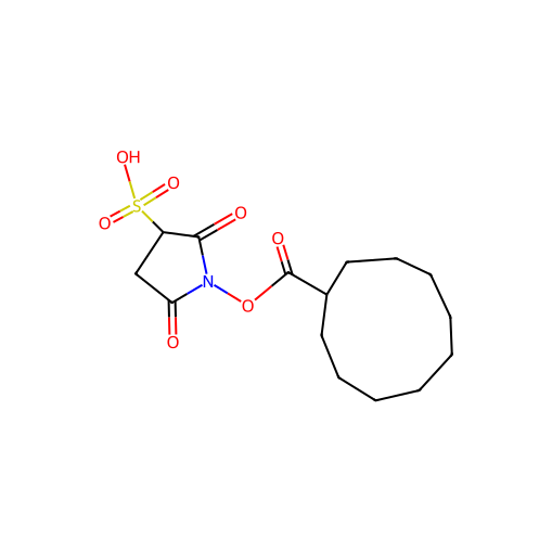 O=C(ON1C(=O)CC(S(=O)(=O)O)C1=O)C1CCCCCCCCC1